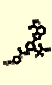 NC(=O)c1cccc2cn(-c3ccc(NC(=O)[C@@H]4CC[C@H](N)C4)cc3)nc12.O=C(O)C(F)(F)F